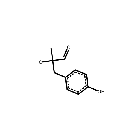 CC(O)(C=O)Cc1ccc(O)cc1